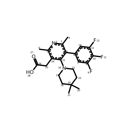 Cc1nc(C)c(-c2cc(F)c(F)c(F)c2)c(N2CCC(C)(C)CC2)c1CC(=O)O